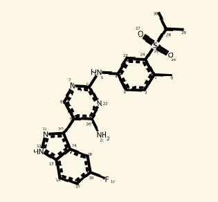 Cc1ccc(Nc2ncc(-c3n[nH]c4ccc(F)cc34)c(N)n2)cc1S(=O)(=O)C(C)C